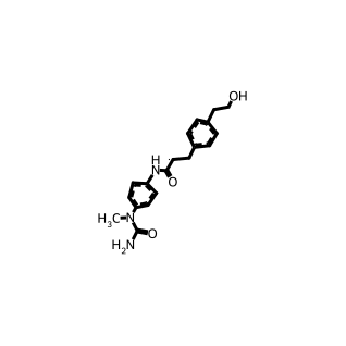 CN(C(N)=O)c1ccc(NC(=O)[CH]Cc2ccc(CCO)cc2)cc1